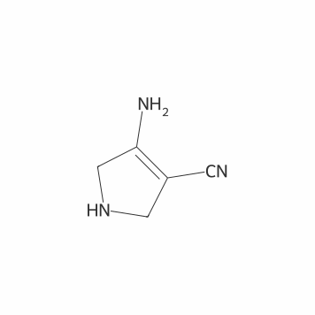 N#CC1=C(N)CNC1